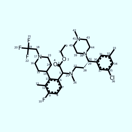 CCOC(=O)C(c1ccc(F)c(C)c1C1CCN(CC(F)(F)F)CC1)N(C)CC[C@@H](c1cc(C)cc(Cl)c1)N1CCN(C)CC1